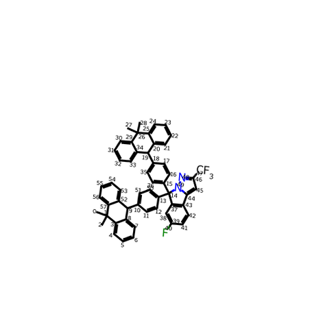 CC1(C)c2ccccc2C(c2ccc(C3(c4ccc(C5c6ccccc6C(C)(C)c6ccccc65)cc4)c4cc(F)ccc4-c4cc(C(F)(F)F)nn43)cc2)c2ccccc21